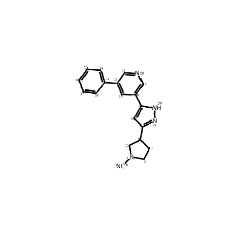 N#CN1CCC(c2cc(-c3cncc(-c4ccccc4)c3)[nH]n2)C1